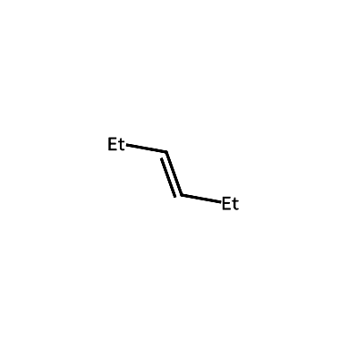 CCC=CCC